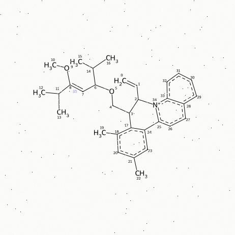 C=CC1C(COC(/C=C(\OC)C(C)C)C(C)C)c2c(C)cc(C)cc2-c2ccc3ccccc3[n+]21